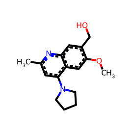 COc1cc2c(N3CCCC3)cc(C)nc2cc1CO